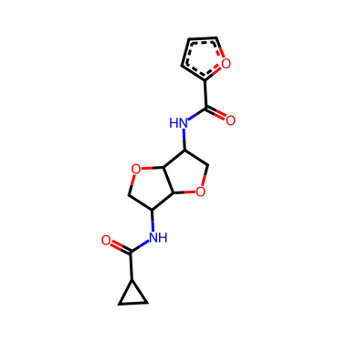 O=C(NC1COC2C(NC(=O)C3CC3)COC12)c1ccco1